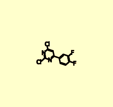 Fc1ccc(-c2cc(Cl)nc(Cl)n2)cc1F